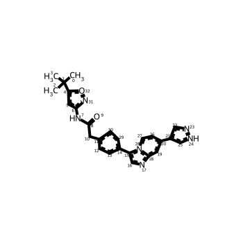 CC(C)(C)c1cc(NC(=O)Cc2ccc(-c3cnc4cc(-c5cn[nH]c5)ccn34)cc2)no1